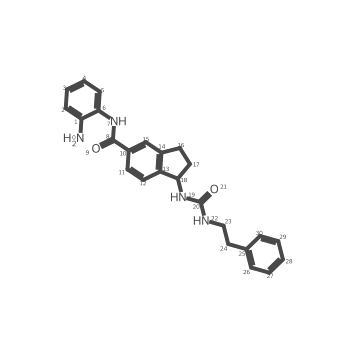 Nc1ccccc1NC(=O)c1ccc2c(c1)CCC2NC(=O)NCCc1ccccc1